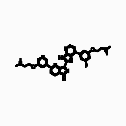 CN(C)CCOc1cncc(-c2ccc3[nH]nc(-c4nc5c(-c6cc(F)cc(OCCN(C)C)c6)ccnc5[nH]4)c3n2)c1